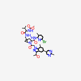 COC(=O)N[C@H](C(=O)NC[C@]12CC1N(C(=O)Cn1nc(C(C)=O)c3cc(-c4cnc(C)nc4)cc(C)c31)[C@H](C(=O)Nc1nc(Br)ccc1C)C2)C(C)C